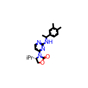 Cc1ccc(C(C)Nc2nccc(N3C(=O)OC[C@@H]3C(C)C)n2)cc1C